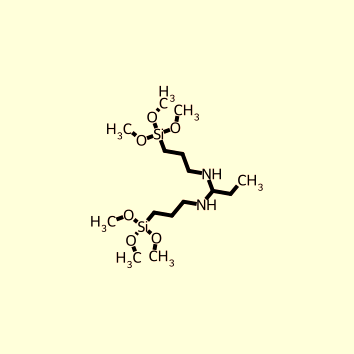 CCC(NCCC[Si](OC)(OC)OC)NCCC[Si](OC)(OC)OC